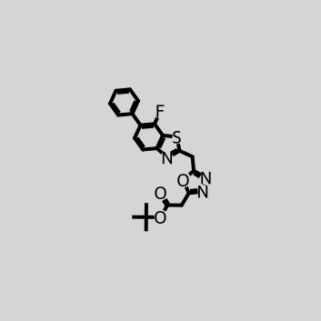 CC(C)(C)OC(=O)Cc1nnc(Cc2nc3ccc(-c4ccccc4)c(F)c3s2)o1